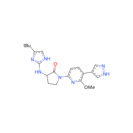 COc1nc(N2CCC(Nc3nc(C(C)(C)C)c[nH]3)C2=O)ccc1-c1cn[nH]c1